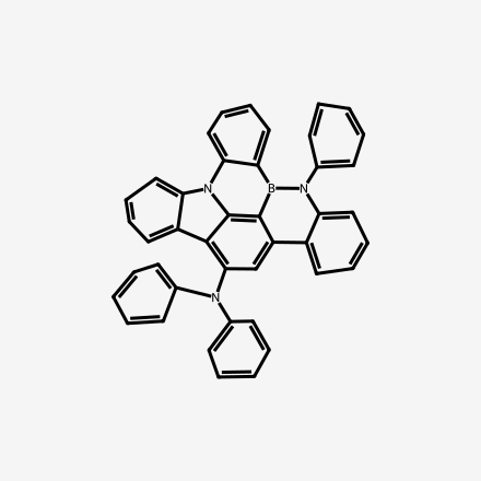 c1ccc(N2B3c4ccccc4-n4c5ccccc5c5c(N(c6ccccc6)c6ccccc6)cc(c3c54)-c3ccccc32)cc1